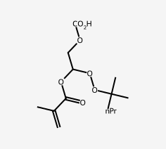 C=C(C)C(=O)OC(COC(=O)O)OOC(C)(C)CCC